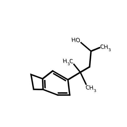 CC(O)CC(C)(C)c1ccc2c(c1)CC2